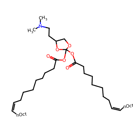 CCCCCCCC/C=C\CCCCCCCC(=O)OC1(OC(=O)CCCCCCC/C=C\CCCCCCCC)OCC(CCN(C)C)O1